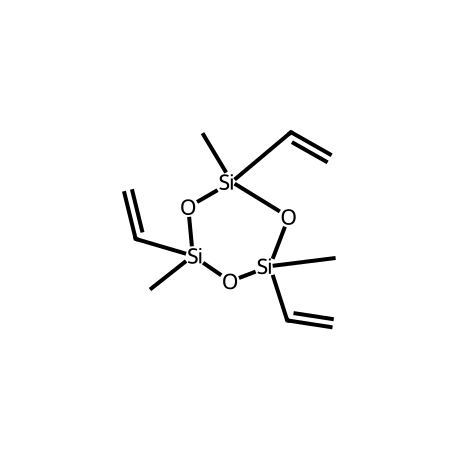 C=C[Si]1(C)O[Si](C)(C=C)O[Si](C)(C=C)O1